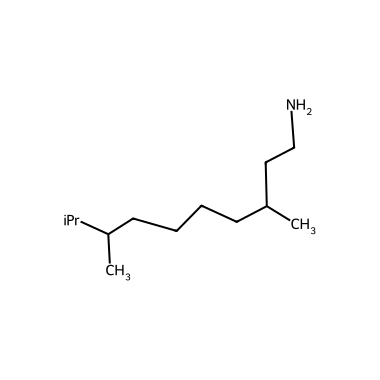 CC(CCN)CCCCC(C)C(C)C